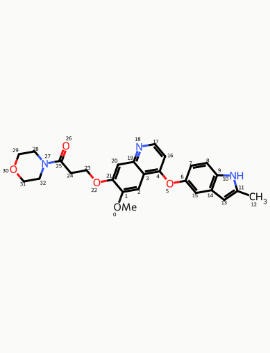 COc1cc2c(Oc3ccc4[nH]c(C)cc4c3)ccnc2cc1OCCC(=O)N1CCOCC1